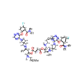 CCN(C(=O)c1cc(F)ccc1Oc1nncnc1N1CCC2(C1)CN([C@@H](C[C@H](CN(C)CCOC)OC(=O)/C=C/C(=O)O[C@H](C[C@@H](C(C)C)N1CC3(CCN(c4ncnnc4Oc4ccc(F)cc4C(=O)N(CC)C(C)C)C3)C1)CN(C)CCOC)C(C)C)C2)C(C)C